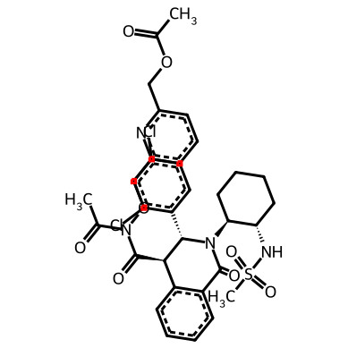 CC(=O)OCc1cccc(CON(C(C)=O)C(=O)[C@@H]2c3ccccc3C(=O)N([C@H]3CCCC[C@@H]3NS(C)(=O)=O)[C@H]2c2ccc(Cl)cc2Cl)n1